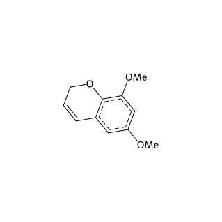 COc1cc2c(c(OC)c1)OCC=C2